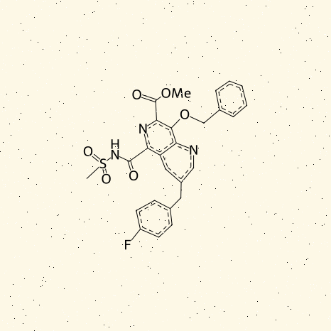 COC(=O)c1nc(C(=O)NS(C)(=O)=O)c2cc(Cc3ccc(F)cc3)cnc2c1OCc1ccccc1